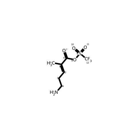 CC(=CCCN)C(=O)OS(=O)(=O)C(F)(F)F